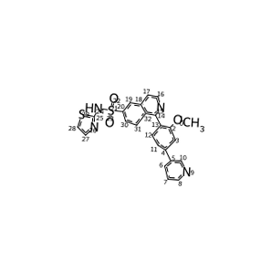 COc1cc(-c2cccnc2)ccc1-c1nccc2cc(S(=O)(=O)Nc3nccs3)ccc12